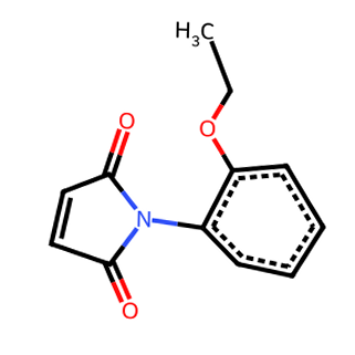 CCOc1ccccc1N1C(=O)C=CC1=O